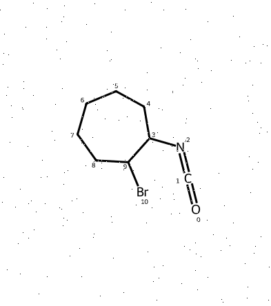 O=C=NC1CCCCCC1Br